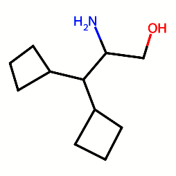 NC(CO)C(C1CCC1)C1CCC1